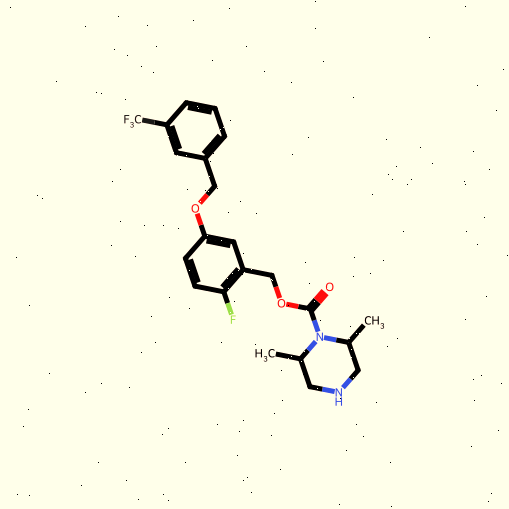 CC1CNCC(C)N1C(=O)OCc1cc(OCc2cccc(C(F)(F)F)c2)ccc1F